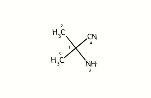 CC(C)([NH])C#N